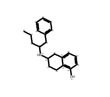 CCCC(Cc1ccccc1)NC1CCc2c(O)cccc2C1